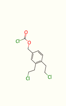 O=C(Cl)OCc1ccc(CCCl)c(CCCl)c1